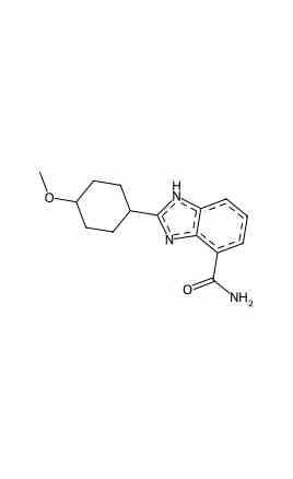 COC1CCC(c2nc3c(C(N)=O)cccc3[nH]2)CC1